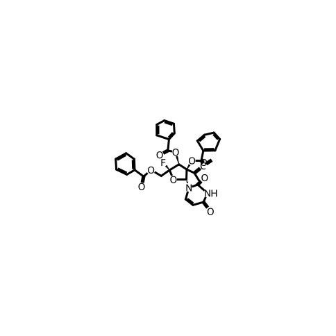 C=C=C(C)[C@]1(OC(=O)c2ccccc2)[C@H](n2ccc(=O)[nH]c2=O)O[C@](F)(COC(=O)c2ccccc2)[C@H]1OC(=O)c1ccccc1